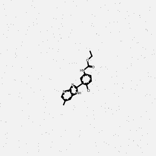 CCOC(=O)Nc1ccc(Cl)c(-c2nc3ncc(C)cc3[nH]2)c1